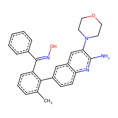 Cc1cccc(C(=NO)c2ccccc2)c1-c1ccc2nc(N)c(N3CCOCC3)cc2c1